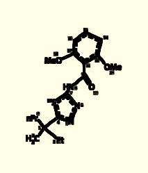 CCCC(C)(CC)c1nnc(NC(=O)c2c(OC)cccc2OC)s1